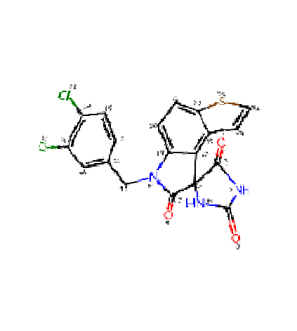 O=C1NC(=O)C2(N1)C(=O)N(Cc1ccc(Cl)c(Cl)c1)c1ccc3sccc3c12